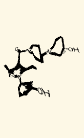 Cc1nn(-c2cccc(O)c2)c(C)c1C(=O)N1CCC(N2CC[C@H](O)C2)CC1